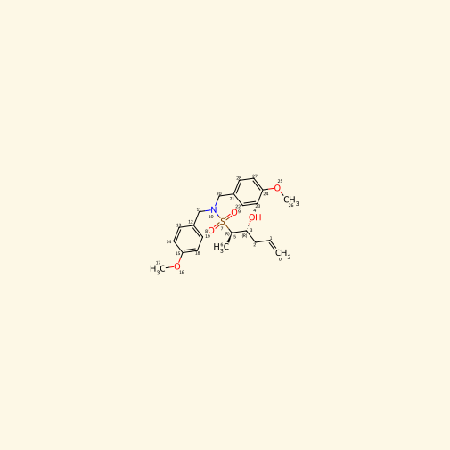 C=CC[C@@H](O)[C@@H](C)S(=O)(=O)N(Cc1ccc(OC)cc1)Cc1ccc(OC)cc1